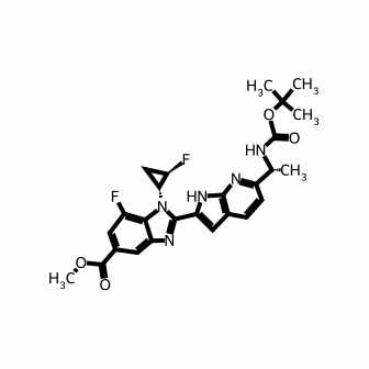 COC(=O)c1cc(F)c2c(c1)nc(-c1cc3ccc([C@@H](C)NC(=O)OC(C)(C)C)nc3[nH]1)n2[C@@H]1C[C@H]1F